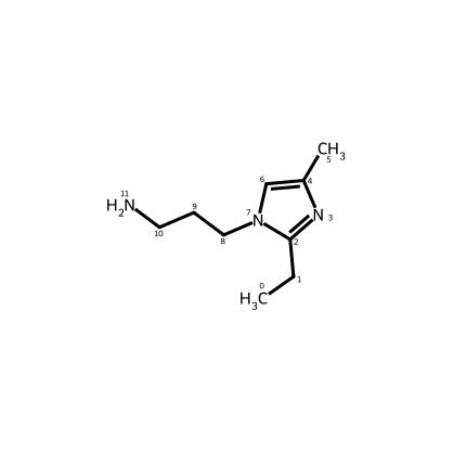 CCc1nc(C)cn1CCCN